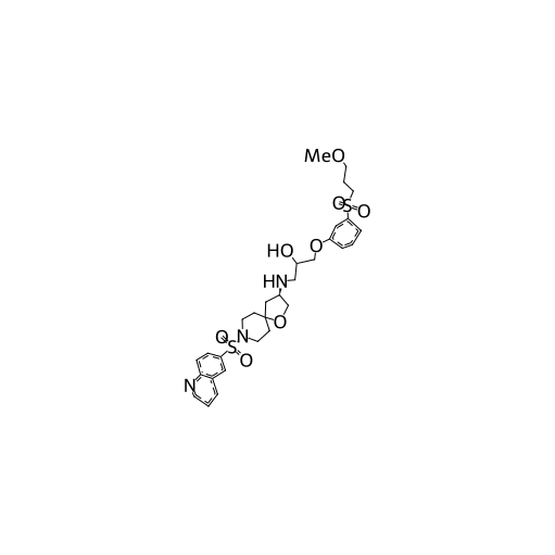 COCCCS(=O)(=O)c1cccc(OCC(O)CN[C@H]2COC3(CCN(S(=O)(=O)c4ccc5ncccc5c4)CC3)C2)c1